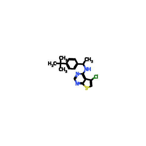 CC(Nc1ncnc2scc(Cl)c12)c1ccc(C(C)(C)C)cc1